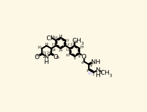 CN/C=C\C(=N)COc1ccc(-c2ccc(Cl)c(C3CCC(=O)NC3=O)c2)c(C)c1